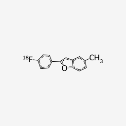 Cc1ccc2oc(-c3ccc([18F])cc3)cc2c1